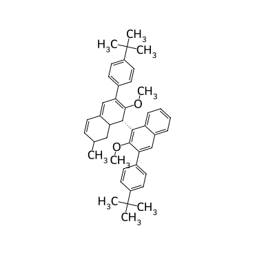 COC1=C(c2ccc(C(C)(C)C)cc2)C=C2C=CC(C)CC2[C@H]1c1c(OC)c(-c2ccc(C(C)(C)C)cc2)cc2ccccc12